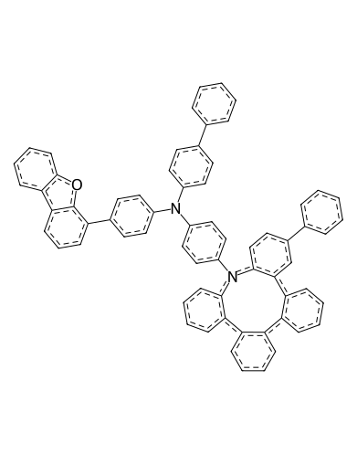 c1ccc(-c2ccc(N(c3ccc(-c4cccc5c4oc4ccccc45)cc3)c3ccc(-n4c5ccccc5c5ccccc5c5ccccc5c5cc(-c6ccccc6)ccc54)cc3)cc2)cc1